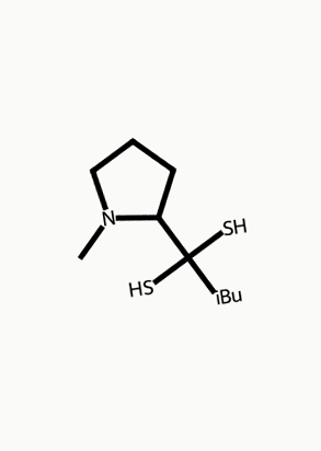 CCC(C)C(S)(S)C1CCCN1C